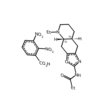 CCC(=O)Nc1nc2c(o1)C[C@H]1[C@@H](CCCN1CC)C2.O=C(O)c1cccc([N+](=O)[O-])c1[N+](=O)[O-]